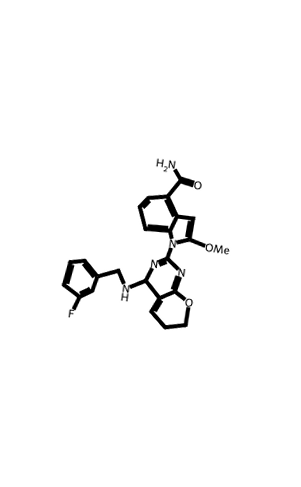 COc1cc2c(C(N)=O)cccc2n1C1=NC(NCc2cccc(F)c2)C2=CCCOC2=N1